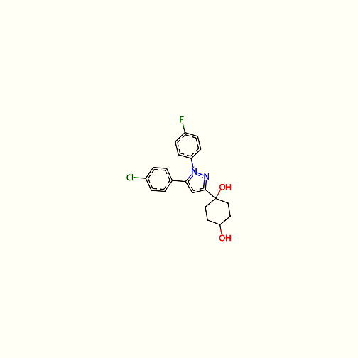 OC1CCC(O)(c2cc(-c3ccc(Cl)cc3)n(-c3ccc(F)cc3)n2)CC1